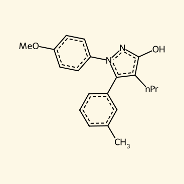 CCCc1c(O)nn(-c2ccc(OC)cc2)c1-c1cccc(C)c1